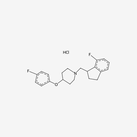 Cl.Fc1ccc(OC2CCN(CC3CCc4cccc(F)c43)CC2)cc1